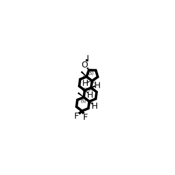 C[C@]12CCC(F)(F)C[C@@H]1CC[C@@H]1[C@@H]2CC[C@]2(C)[C@@H](OI)CC[C@@H]12